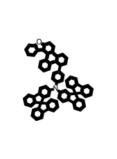 c1ccc2c(c1)-c1ccccc1C21c2ccccc2-c2ccc(N(c3ccc(-c4cccc5c6ccc7oc8ccccc8c7c6c6ccccc6c45)cc3)c3ccc4c(c3)C3(c5ccccc5-c5ccccc53)c3ccccc3-4)cc21